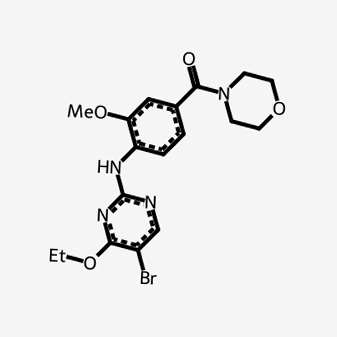 CCOc1nc(Nc2ccc(C(=O)N3CCOCC3)cc2OC)ncc1Br